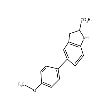 CCOC(=O)C1Cc2cc(-c3ccc(OC(F)(F)F)cc3)ccc2N1